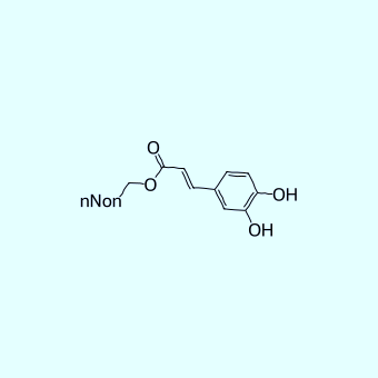 CCCCCCCCCCOC(=O)C=Cc1ccc(O)c(O)c1